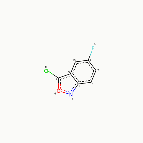 Fc1ccc2noc(Cl)c2c1